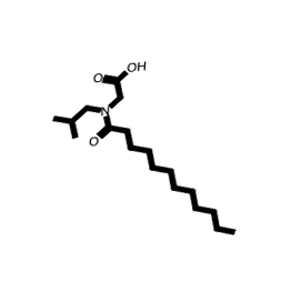 CCCCCCCCCCCC(=O)N(CC(=O)O)CC(C)C